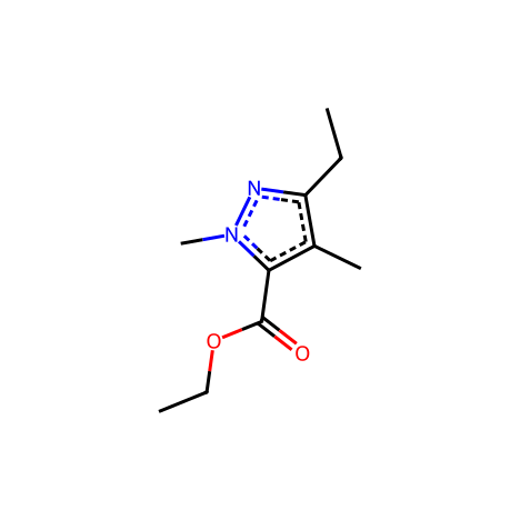 CCOC(=O)c1c(C)c(CC)nn1C